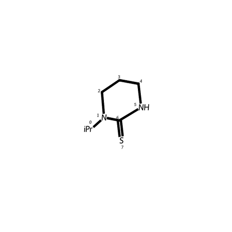 CC(C)N1CCCNC1=S